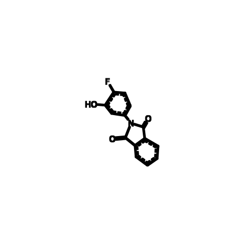 O=C1c2ccccc2C(=O)N1c1ccc(F)c(O)c1